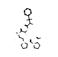 CNC(C(=O)N[C@H](C(=O)N(C)[C@H](CN1CCC[C@H]1C(=O)N1CCC[C@H]1C(=O)OC)C(C)C)C(C)(C)C)C(C)(C)c1ccccc1